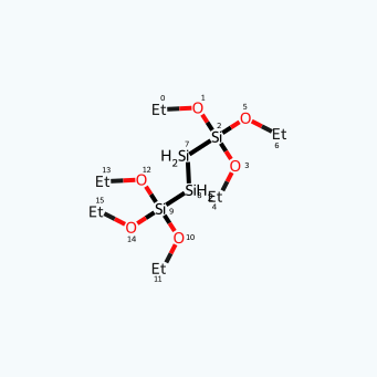 CCO[Si](OCC)(OCC)[SiH2][SiH2][Si](OCC)(OCC)OCC